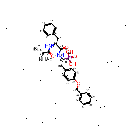 CC[C@H](C)[C@H](NC(C)=O)C(=O)N[C@@H](Cc1ccccc1)C(=O)N[C@@H](Cc1ccc(OCc2ccccc2)cc1)P(=O)(O)O